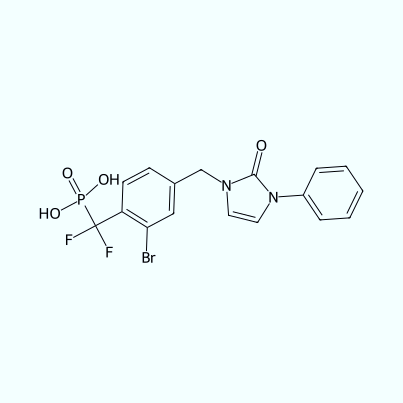 O=c1n(Cc2ccc(C(F)(F)P(=O)(O)O)c(Br)c2)ccn1-c1ccccc1